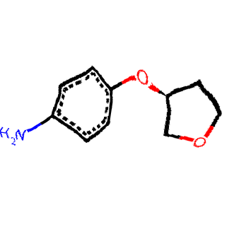 Nc1ccc(O[C@H]2CCOC2)cc1